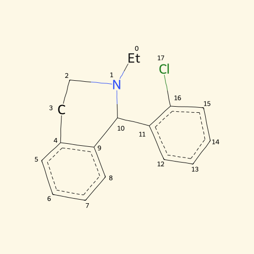 CCN1CCc2ccccc2C1c1ccccc1Cl